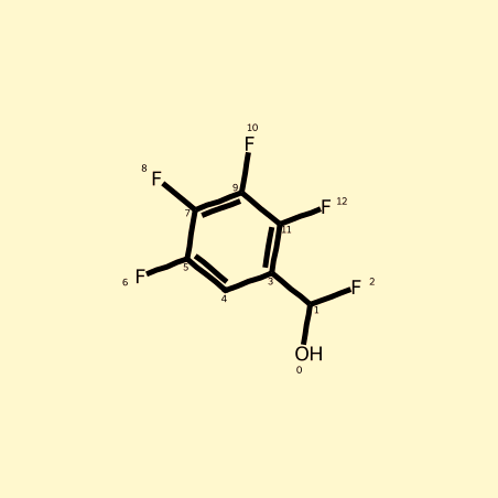 OC(F)c1cc(F)c(F)c(F)c1F